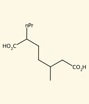 CCCC(CCC(C)CC(=O)O)C(=O)O